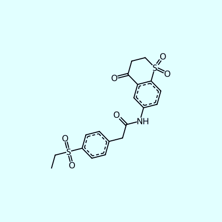 CCS(=O)(=O)c1ccc(CC(=O)Nc2ccc3c(c2)C(=O)CCS3(=O)=O)cc1